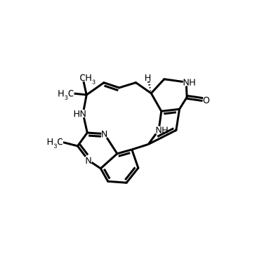 Cc1nc2cccc3c2nc1NC(C)(C)/C=C/C[C@H]1CNC(=O)c2cc-3[nH]c21